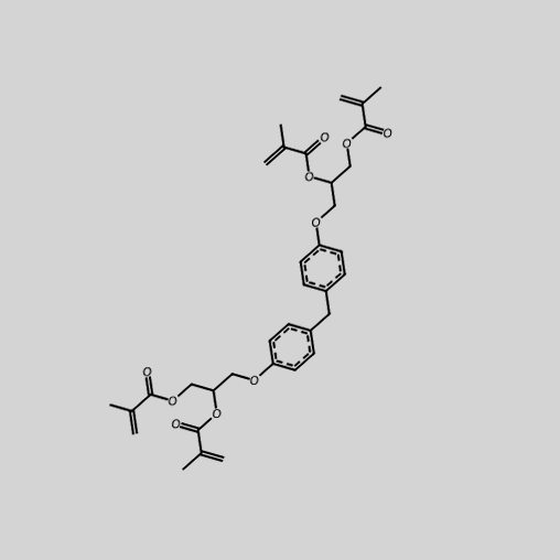 C=C(C)C(=O)OCC(COc1ccc(Cc2ccc(OCC(COC(=O)C(=C)C)OC(=O)C(=C)C)cc2)cc1)OC(=O)C(=C)C